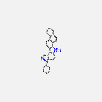 c1ccc(-n2ncc3c4c(ccc32)[nH]c2c3ccc5ccccc5c3ccc24)cc1